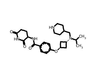 CC(C)N(CC1CCNCC1)[C@H]1C[C@H](Oc2ccc(C(=O)NC3CCC(=O)NC3=O)cc2)C1